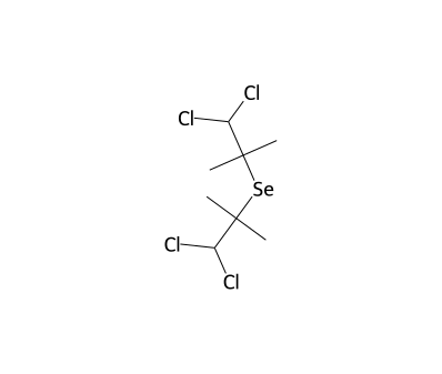 CC(C)([Se]C(C)(C)C(Cl)Cl)C(Cl)Cl